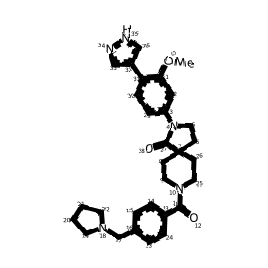 COc1cc(N2CCC3(CCN(C(=O)c4ccc(CN5CCCC5)cc4)CC3)C2=O)ccc1-c1cn[nH]c1